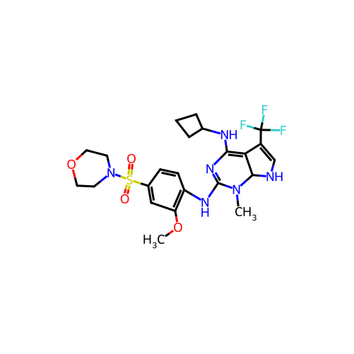 COc1cc(S(=O)(=O)N2CCOCC2)ccc1NC1=NC(NC2CCC2)=C2C(C(F)(F)F)=CNC2N1C